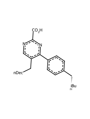 CCCCCCCCCCCc1cnc(C(=O)O)nc1-c1ccc(C[C@@H](C)CC)cc1